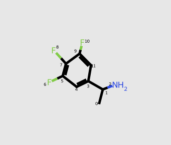 CC(N)c1cc(F)c(F)c(F)c1